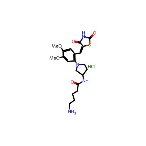 COc1cc(C=C2SC(=O)NC2=O)c(N2CCC(NC(=O)CCCCN)C2)cc1OC.Cl